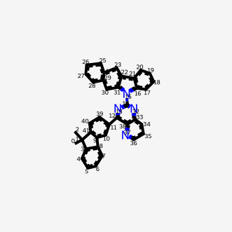 CC1(C)c2ccccc2-c2cc(-c3nc(-n4c5ccccc5c5cc6ccccc6cc54)nc4cccnc34)ccc21